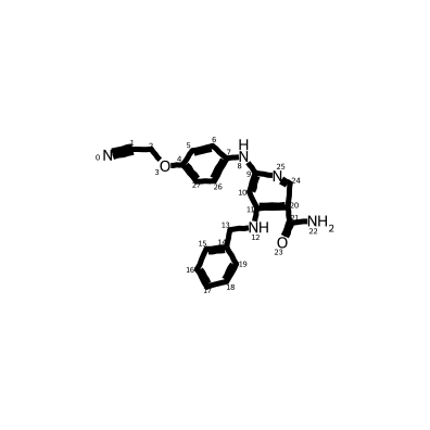 N#CCOc1ccc(Nc2cc(NCc3ccccc3)c(C(N)=O)cn2)cc1